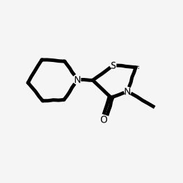 CN1[C]SC(N2CCCCC2)C1=O